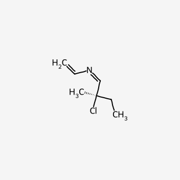 C=C/N=C\[C@](C)(Cl)CC